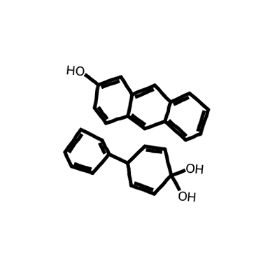 OC1(O)C=CC(c2ccccc2)C=C1.Oc1ccc2cc3ccccc3cc2c1